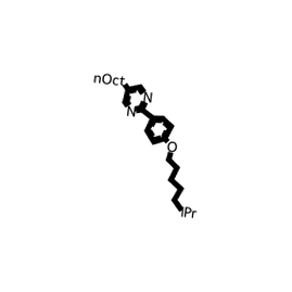 CCCCCCCCc1cnc(-c2ccc(OCCCCCC(C)C)cc2)nc1